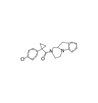 O=C(N1CCN2c3ccccc3CC2C1)C1(c2ccc(Cl)cc2)CC1